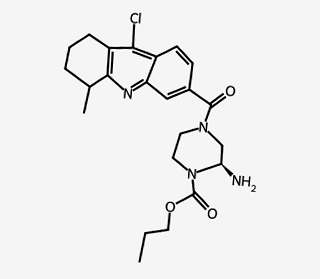 CCCOC(=O)N1CCN(C(=O)c2ccc3c(Cl)c4c(nc3c2)C(C)CCC4)C[C@H]1N